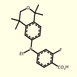 CCN(c1ccc(C(=O)O)c(F)c1)c1ccc2c(c1)C(C)(C)COC2(C)C